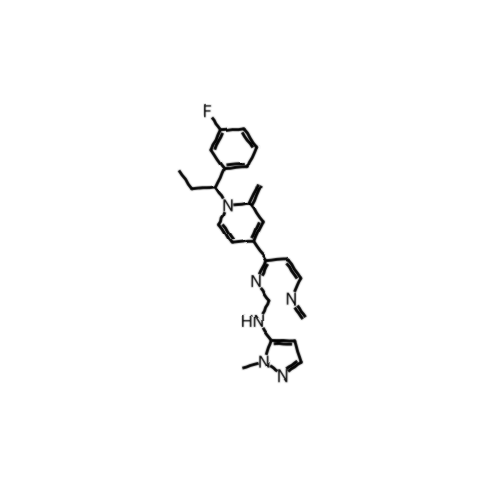 C=N/C=C\C(=N/CNc1ccnn1C)C1=CC(=C)N(C(CC)c2cccc(F)c2)C=C1